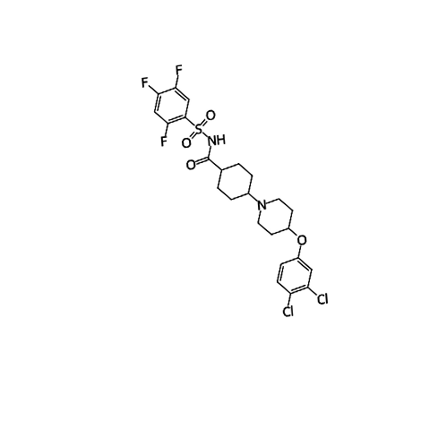 O=C(NS(=O)(=O)c1cc(F)c(F)cc1F)C1CCC(N2CCC(Oc3ccc(Cl)c(Cl)c3)CC2)CC1